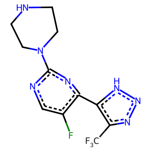 Fc1cnc(N2CCNCC2)nc1-c1[nH]nnc1C(F)(F)F